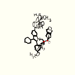 CCOCCN1CC23COCC2(C1)CN(C(=O)C1(Cn2c(-c4ccc(OC)cc4)c(C4CCCCC4)c4ccc(C(=O)NS(=O)(=O)N(C)C)cc42)CC1)C3